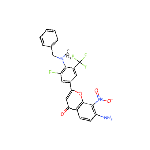 CN(Cc1ccccc1)c1c(F)cc(-c2cc(=O)c3ccc(N)c([N+](=O)[O-])c3o2)cc1C(F)(F)F